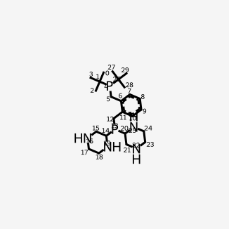 CC(C)(C)P(Cc1ccccc1CP(C1CNCCN1)C1CNCCN1)C(C)(C)C